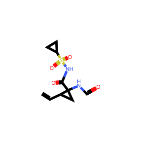 C=CC1CC1(NC=O)C(=O)NS(=O)(=O)C1CC1